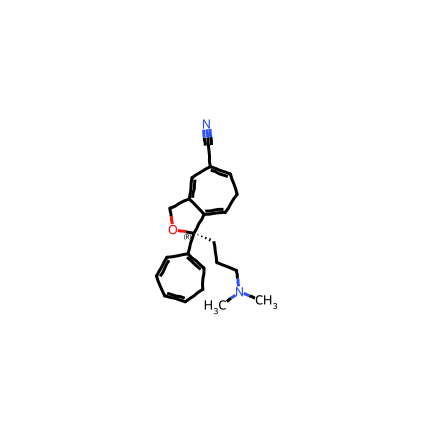 CN(C)CCC[C@]1(C2=CCC=CC=C2)OCC2=CC(C#N)=CCC=C21